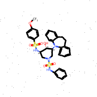 O=S(=O)(N[C@@H]1CN(S(=O)(=O)Nc2ccccc2)C[C@H](N2c3ccccc3CCc3ccccc32)[C@H]1O)c1ccc(OC(F)(F)F)cc1